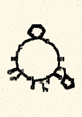 CCC[C@@H]1NC(=O)[C@@H](C(C)C)NC(=O)[C@@H](Cc2cccs2)NCCOc2ccccc2CCCNC1=O